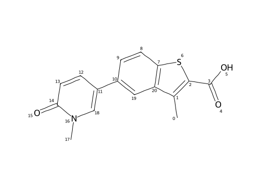 Cc1c(C(=O)O)sc2ccc(-c3ccc(=O)n(C)c3)cc12